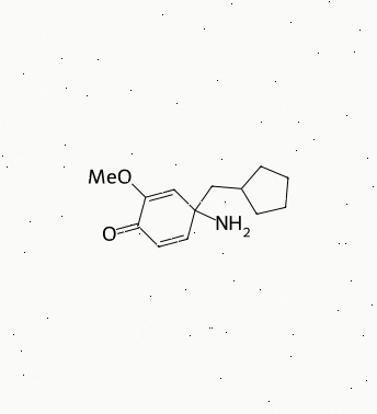 COC1=CC(N)(CC2CCCC2)C=CC1=O